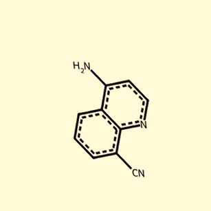 N#Cc1cccc2c(N)ccnc12